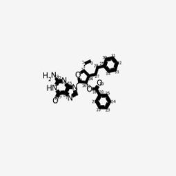 CC[C@H]1O[C@@H](n2cnc3c(=O)[nH]c(N)nc32)[C@@H](OC(=O)c2ccccc2)C1CCc1ccccc1